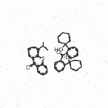 CC(C)c1cccc2c(=O)c3ccccc3sc12.O=C(c1ccccc1C1(O)CCCCC1)c1ccccc1C1(O)CCCCC1